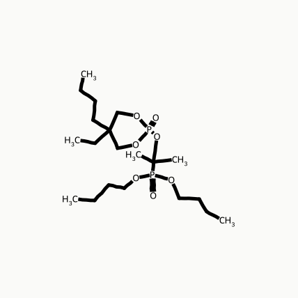 CCCCOP(=O)(OCCCC)C(C)(C)OP1(=O)OCC(CC)(CCCC)CO1